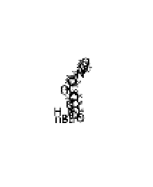 CCCCOC(=O)CC1Cc2ccc(C(=O)c3ccc(C=NN4CCOCC4)cc3)cc2OC1N